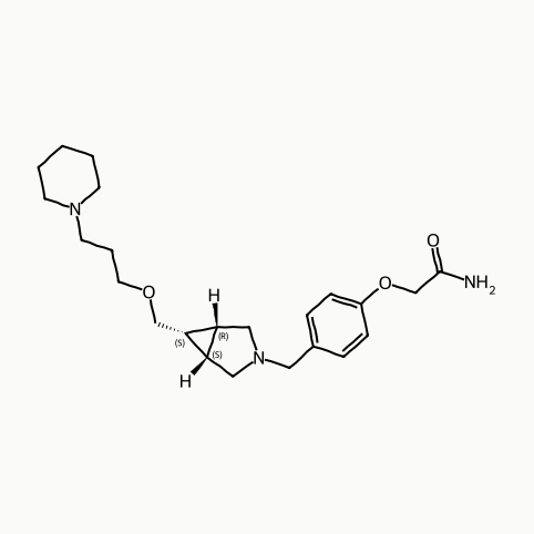 NC(=O)COc1ccc(CN2C[C@@H]3[C@H](COCCCN4CCCCC4)[C@@H]3C2)cc1